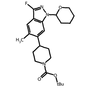 Cc1cc2c(F)nn(C3CCCCO3)c2cc1C1CCN(C(=O)OC(C)(C)C)CC1